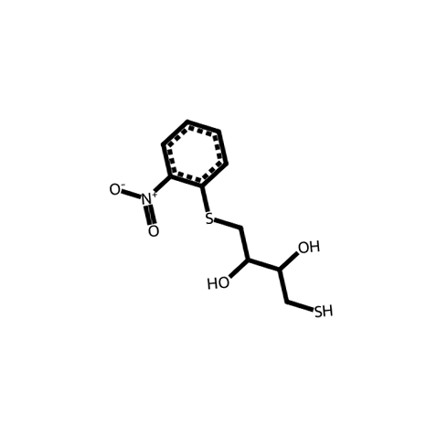 O=[N+]([O-])c1ccccc1SCC(O)C(O)CS